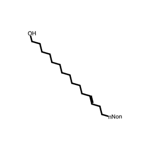 CCCCCCCCCCCC=CCCCCCCCCCCCO